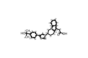 CC(C)(O)c1ccc(-c2cn(C3CCc4c(CC(=O)O)c5ccccc5n4C3)nn2)cc1